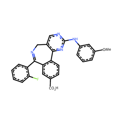 COc1cccc(Nc2ncc3c(n2)-c2ccc(C(=O)O)cc2C(c2ccccc2F)=NC3)c1